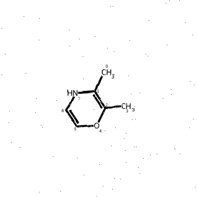 CC1=C(C)OC=CN1